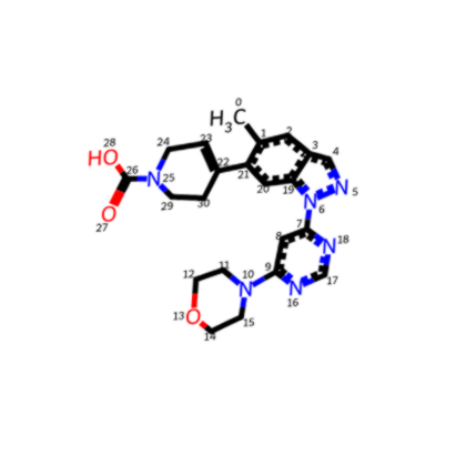 Cc1cc2cnn(-c3cc(N4CCOCC4)ncn3)c2cc1C1=CCN(C(=O)O)CC1